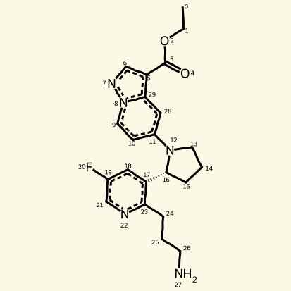 CCOC(=O)c1cnn2ccc(N3CCC[C@@H]3c3cc(F)cnc3CCCN)cc12